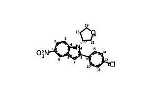 O=[N+]([O-])c1ccc2c(c1)cc(-c1ccc(Cl)cc1)n2[C@@H]1CCOC1